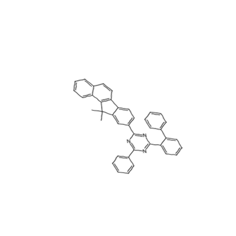 CC1(C)c2cc(-c3nc(-c4ccccc4)nc(-c4ccccc4-c4ccccc4)n3)ccc2-c2ccc3ccccc3c21